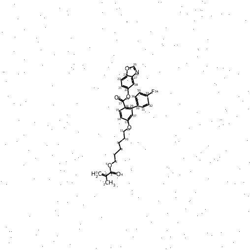 C=C(C)C(=O)OCCCCCCOc1ccc(C(=O)Oc2ccc3ocnc3c2)c(-c2ccc(F)cc2)c1